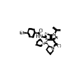 C=C(C)n1nc(C(=O)N2CCC[C@H]2CN2CCCC2)c2sc(NC(=O)c3ccc(CC)cc3)nc21